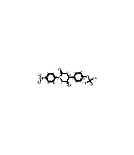 O=C1CN(c2ccc([N+](=O)[O-])cc2)C(=O)CC1c1ccc(OC(F)(F)F)cc1